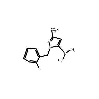 CN(C)c1cc(C(=O)O)nn1Cc1ccccc1F